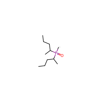 [CH2]P(=O)(C(C)CCC)C(C)CCC